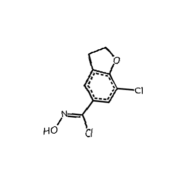 ON=C(Cl)c1cc(Cl)c2c(c1)CCO2